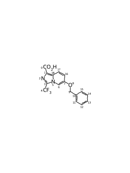 O=C(O)c1nc(C(F)(F)F)n2cc(OCc3ccccc3)ccc12